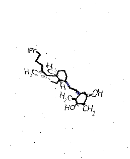 C=C1/C(=C\C=C2/CCC[C@]3(C)[C@@H]([C@H](C)CCCC(C)C)CC[C@@H]23)C[C@@H](O)C(=C)[C@@H]1O